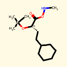 CNOC(=O)[C@H](CCC1CCCCC1)O[Si](C)(C)C